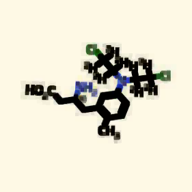 [2H]C([2H])(Cl)C([2H])([2H])N(c1ccc(C)c(C[C@H](N)CC(=O)O)c1)C([2H])([2H])C([2H])([2H])Cl